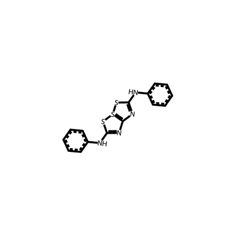 c1ccc(NC2=NC3=S(S2)SC(Nc2ccccc2)=N3)cc1